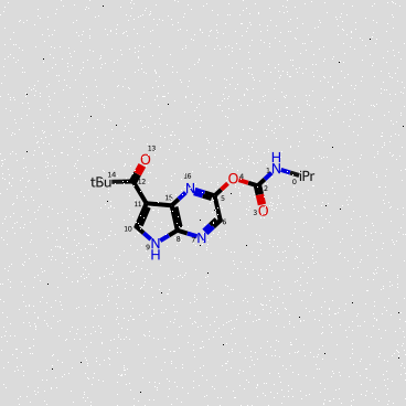 CC(C)NC(=O)Oc1cnc2[nH]cc(C(=O)C(C)(C)C)c2n1